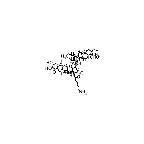 C[C@H]1O[C@@H](OC2C(O)C(NC(=O)CCCCCN)[C@@H](CO)O[C@H]2OC(=O)C23CCC(C)(C)CC2C2=CCC4C5(C)CCC(O)C(C)(C=O)[C@@H]5CC[C@@]4(C)[C@]2(C)C[C@@H]3O)C(O)C(O)C1O[C@@H]1OC[C@@H](O)C(O)C1O